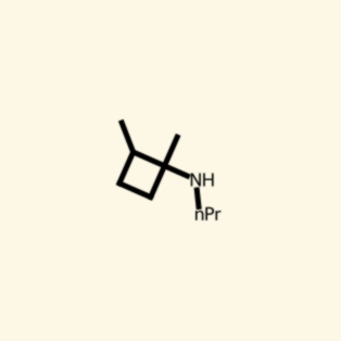 CCCNC1(C)CCC1C